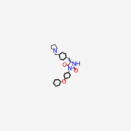 O=C1N/C(=C/c2ccc(CN3CCCC3)cc2)C(=O)N1c1ccc(Oc2ccccc2)cc1